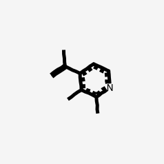 C=C(C)c1ccnc(C)c1C